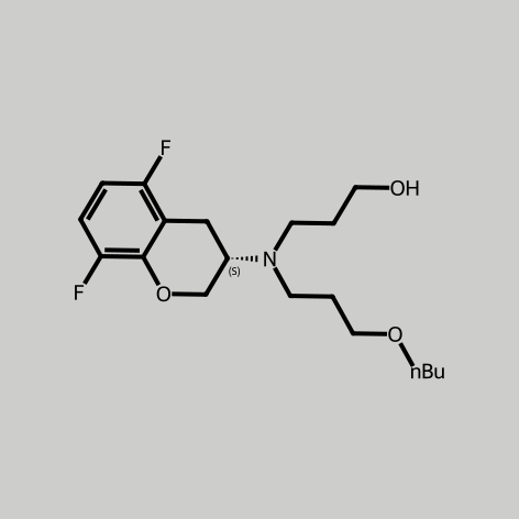 CCCCOCCCN(CCCO)[C@@H]1COc2c(F)ccc(F)c2C1